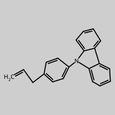 C=CCc1ccc(-n2c3ccccc3c3ccccc32)cc1